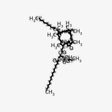 CCCCCCCCCCCCCCCC(=O)OCC(COP(=O)(O)OCCC)OC(=O)CCC1c2[nH]c(cc3nc(cc4[nH]c(cc5nc6c2CC(=O)C6=C5C)c(CC)c4C)C(C(C)OCCCCCCCCCC)=C3C)C1C